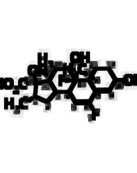 C[C@@H]1CC2C3C=C(F)C4=CC(O)CC[C@]4(C)[C@@]3(F)[C@@H](O)C[C@]2(C)[C@@]1(O)C(=O)O